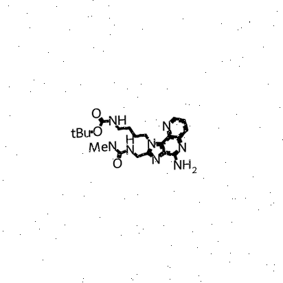 CNC(=O)NCc1nc2c(N)nc3cccnc3c2n1CCCCNC(=O)OC(C)(C)C